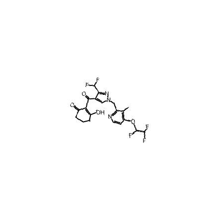 Cc1c(OC(F)C(F)F)ccnc1Cn1cc(C(=O)C2=C(O)CCCC2=O)c(C(F)F)n1